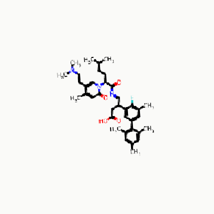 Cc1cc(C)c(-c2cc(C)c(F)c(C(/C=N/C(=O)C(CCC(C)C)n3cc(CCN(C)C)c(C)cc3=O)CC(=O)O)c2)c(C)c1